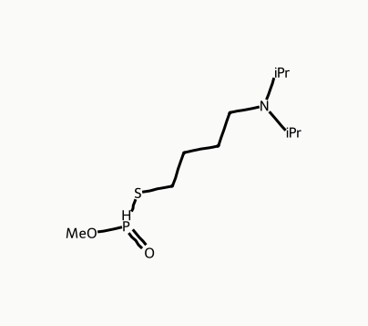 CO[PH](=O)SCCCCN(C(C)C)C(C)C